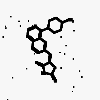 CN1CCN(c2ncnc3ccc(C=C4SC(=O)NC4=O)cc23)CC1